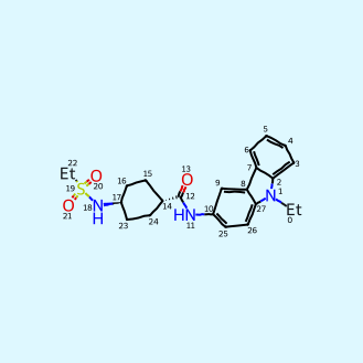 CCn1c2ccccc2c2cc(NC(=O)[C@H]3CC[C@H](NS(=O)(=O)CC)CC3)ccc21